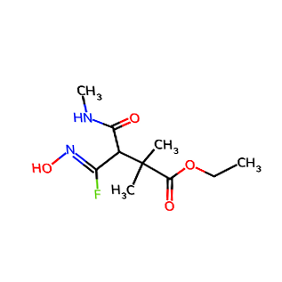 CCOC(=O)C(C)(C)C(C(=O)NC)C(F)=NO